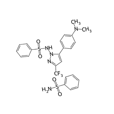 CN(C)c1ccc(-c2cc(C(F)(F)F)nn2NS(=O)(=O)c2ccccc2)cc1.NS(=O)(=O)c1ccccc1